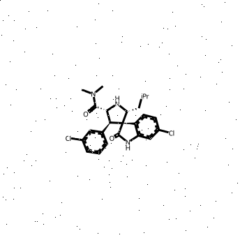 CC(C)C[C@H]1N[C@@H](C(=O)N(C)C)[C@H](c2cccc(Cl)c2)[C@@]12C(=O)Nc1cc(Cl)ccc12